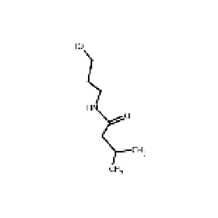 CC(C)CC(=O)NCCCO